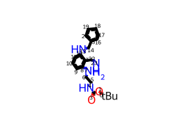 CC(C)(C)OC(=O)NCCNc1cccc(NCc2ccccc2)c1CN